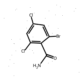 NC(=O)c1c(Cl)cc(Cl)cc1Br